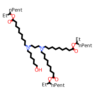 CCCCCC(CC)OC(=O)CCCCCCCCN(CCCCCCO)CCCN(CCCCCCCCC(=O)OC(CC)CCCCC)CCCCCCCCC(=O)OC(CC)CCCCC